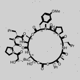 CC[C@H](C)[C@H]1NC(=O)C(NC(=O)[C@@H](CC(C)C)N(C)C(=O)[C@H]2CCCN2C(=O)[C@H](C)O)[C@@H](C)OC(=O)[C@H](Cc2ccc(OC)cc2)N(C)C(=O)[C@@H]2CCCN2C(=O)[C@H](CC(C)C)NC(=O)[C@@H](C)C(=O)[C@H](C(C)C)OC(=O)C[C@@H]1O